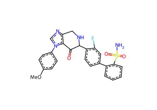 COc1ccc(-n2cnc3c2C(=O)C(c2ccc(-c4ccccc4S(N)(=O)=O)cc2F)NC3)cc1